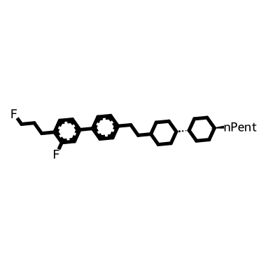 CCCCC[C@H]1CC[C@H](C2CCC(CCc3ccc(-c4ccc(CCCF)c(F)c4)cc3)CC2)CC1